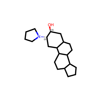 O[C@H]1CC2CCC3C4CCCC4CCC3C2C[C@@H]1N1CCCC1